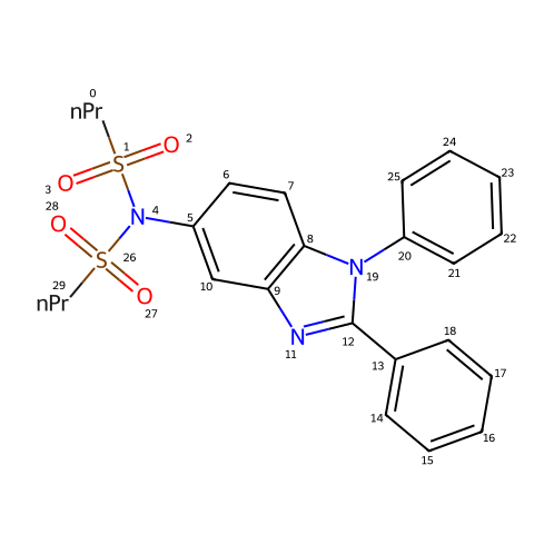 CCCS(=O)(=O)N(c1ccc2c(c1)nc(-c1ccccc1)n2-c1ccccc1)S(=O)(=O)CCC